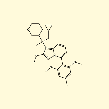 COc1cc(C)cc(OC)c1-c1cccc2c([N+](C)(CC3CC3)C3CCCOC3)c(SC)nn12